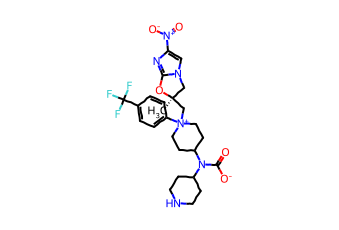 C[C@@]1(C[N+]2(c3ccc(C(F)(F)F)cc3)CCC(N(C(=O)[O-])C3CCNCC3)CC2)Cn2cc([N+](=O)[O-])nc2O1